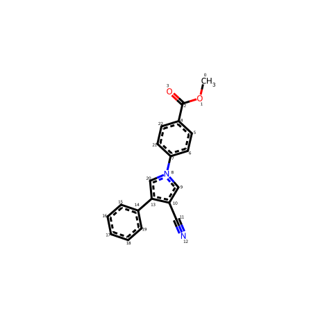 COC(=O)c1ccc(-n2cc(C#N)c(-c3ccccc3)c2)cc1